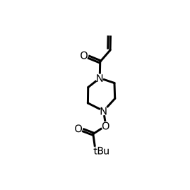 C=CC(=O)N1CCN(OC(=O)C(C)(C)C)CC1